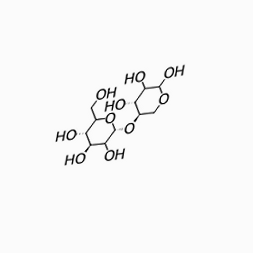 OCC1O[C@H](O[C@@H]2COC(O)C(O)[C@H]2O)C(O)[C@@H](O)[C@@H]1O